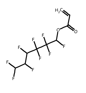 C=CC(=O)OC(F)C(F)(F)C(F)(F)C(F)C(F)C(F)F